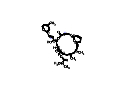 C=C1C[C@H](C)C[C@@H]2CC=C[C@@H](C/C=C\C(=O)O[C@H]([C@@H](O)/C=C/[C@@H]3CC(C)=CCO3)C[C@@H]3O[C@H]3[C@@H](OC(=O)N(C)C)C1)O2